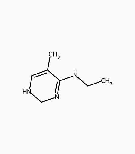 CCNC1=NCNC=C1C